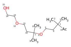 CC(=O)C(C)(C)CCOC(C)(C)CCOCCO